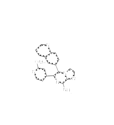 COc1cc(-c2nc(N)c3nccn3c2-c2ccc3ncccc3c2)ccn1